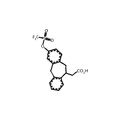 O=C(O)CC1Cc2ccc(OS(=O)(=O)C(F)(F)F)cc2Cc2ccccc21